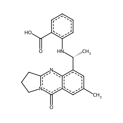 Cc1cc([C@@H](C)Nc2ccccc2C(=O)O)c2nc3n(c(=O)c2c1)CCC3